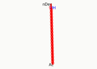 CCCCCCCCCCCCCCCC(=O)NCCOCCOCCOCCOCCOCCOCCOCCOCCOCCOCCOCCOCCOCCOCCOCCOCCOCCOCCOCCOCCOCCOCCOCCOCCOCCOCCOCCOCCOCCOCCOCCOCCOCCOCCOCCOCCC(C)=O